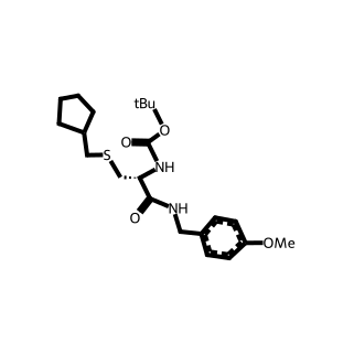 COc1ccc(CNC(=O)[C@H](CSCC2CCCC2)NC(=O)OC(C)(C)C)cc1